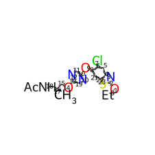 CCOc1nc2cc(Cl)c(Oc3cnc(OCC(C)NC(C)=O)cn3)cc2s1